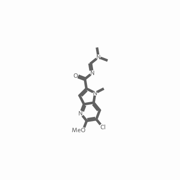 COc1nc2cc(C(=O)N=CN(C)C)n(C)c2cc1Cl